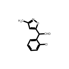 Cc1cc(C(C=O)c2ccccc2Cl)on1